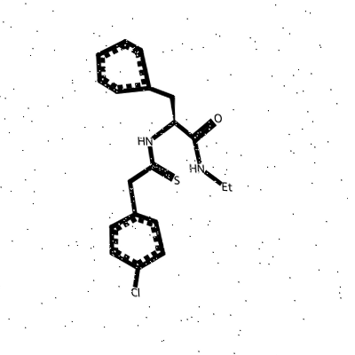 CCNC(=O)[C@H](Cc1ccccc1)NC(=S)Cc1ccc(Cl)cc1